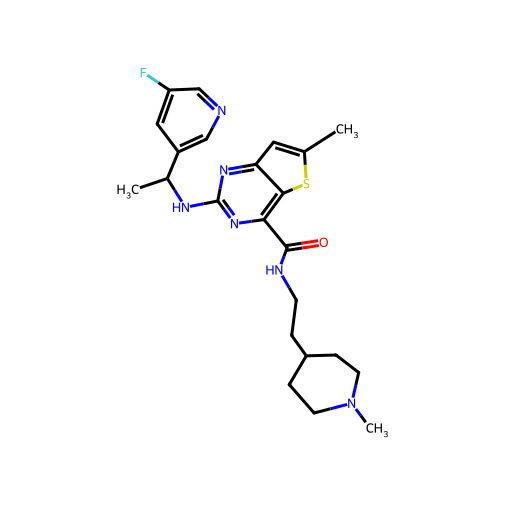 Cc1cc2nc(NC(C)c3cncc(F)c3)nc(C(=O)NCCC3CCN(C)CC3)c2s1